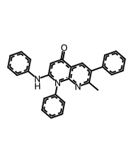 Cc1nc2c(cc1-c1ccccc1)c(=O)cc(Nc1ccccc1)n2-c1ccccc1